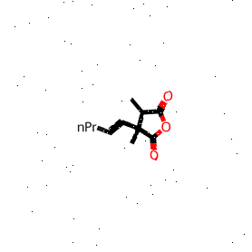 CCCC=CC1(C)C(=O)OC(=O)C1C